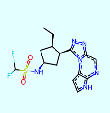 CC[C@@H]1C[C@H](NS(=O)(=O)C(F)F)C[C@@H]1c1nnc2cnc3[nH]ccc3n12